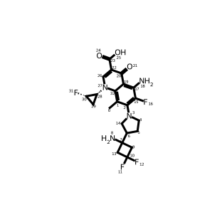 Cc1c(N2CCC(C3(N)CC(F)(F)C3)C2)c(F)c(N)c2c(=O)c(C(=O)O)cn([C@@H]3C[C@@H]3F)c12